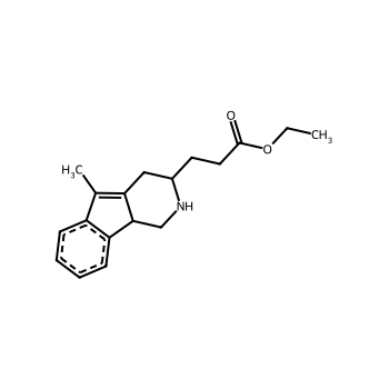 CCOC(=O)CCC1CC2=C(C)c3ccccc3C2CN1